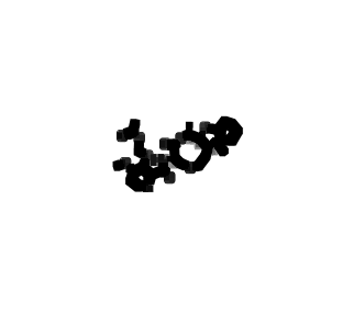 CC[C@H]1CCOC[C@H](NC(=O)c2nccc(OC)c2OCOC(C)=O)C(=O)O[C@@H](C)[C@@H]1Oc1ccccc1